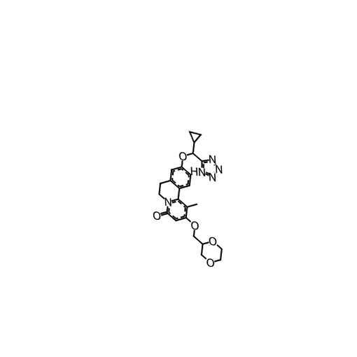 Cc1c(OCC2COCCO2)cc(=O)n2c1-c1ccc(OC(c3nnn[nH]3)C3CC3)cc1CC2